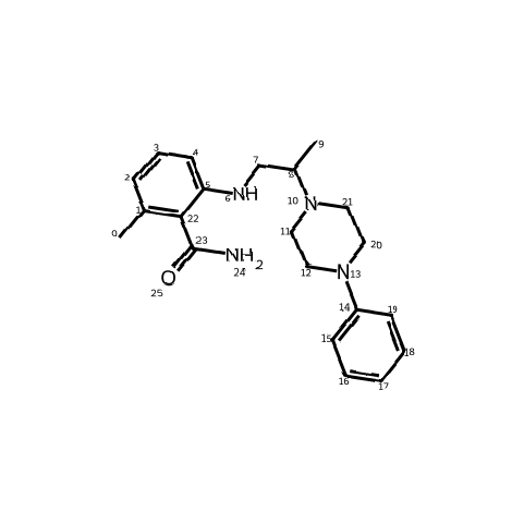 Cc1cccc(NCC(C)N2CCN(c3ccccc3)CC2)c1C(N)=O